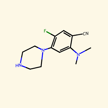 CN(C)c1cc(N2CCNCC2)c(F)cc1C#N